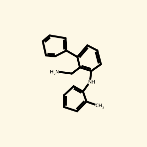 Cc1ccccc1Nc1cccc(-c2ccccc2)c1CN